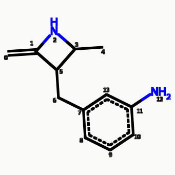 C=C1NC(C)C1Cc1cccc(N)c1